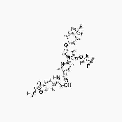 CCS(=O)(=O)c1ccc([C@H](CO)NC(=O)c2ccc(N3CC(Oc4ccc(C(F)(F)F)cc4)C[C@H]3COC(F)(F)C(F)F)nc2)cc1